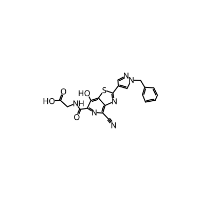 N#Cc1nc(C(=O)NCC(=O)O)c(O)c2sc(-c3cnn(Cc4ccccc4)c3)nc12